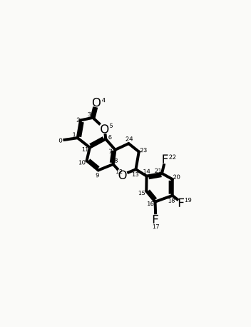 Cc1cc(=O)oc2c3c(ccc12)OC(c1cc(F)c(F)cc1F)CC3